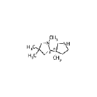 CN1CC(C)(C)C[C@H]1[C@]1(C)CCNC1